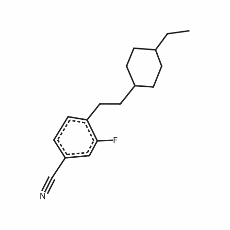 CCC1CCC(CCc2ccc(C#N)cc2F)CC1